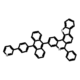 c1ccc(-c2nc3cc(-c4c5ccccc5c(-c5ccc(-c6cccnc6)cc5)c5ccccc45)ccc3c3c2ccc2c4ccccc4sc23)cc1